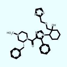 O=C(O)N1CCN(C(=O)c2ncn(C3CCCCC3(O)COCc3nccs3)c2-c2ccccc2)[C@H](Cc2ccccc2)C1